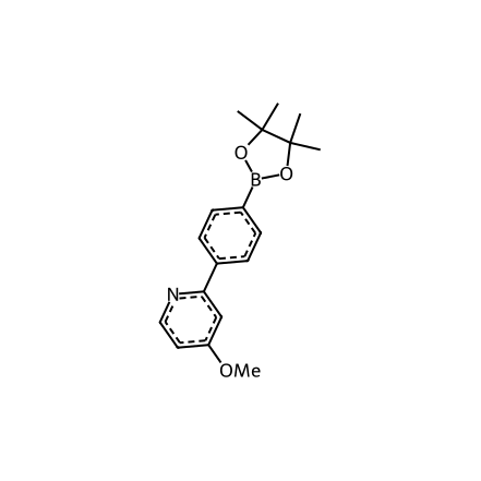 COc1ccnc(-c2ccc(B3OC(C)(C)C(C)(C)O3)cc2)c1